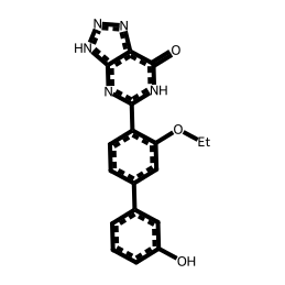 CCOc1cc(-c2cccc(O)c2)ccc1-c1nc2[nH]nnc2c(=O)[nH]1